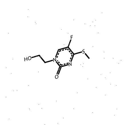 CSc1nc(=O)n(CCO)cc1F